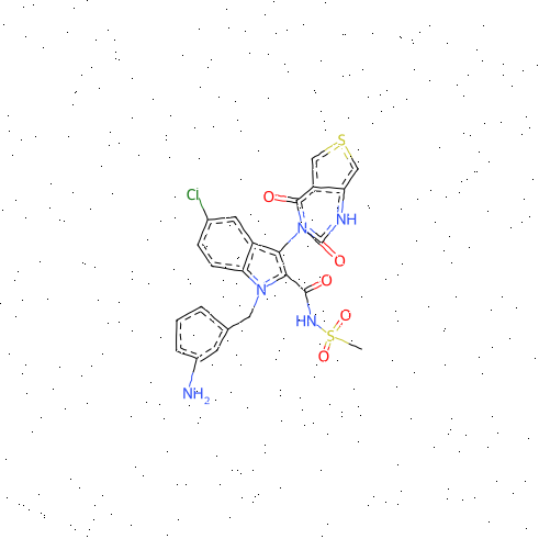 CS(=O)(=O)NC(=O)c1c(-n2c(=O)[nH]c3cscc3c2=O)c2cc(Cl)ccc2n1Cc1cccc(N)c1